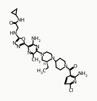 CC[C@H]1CN(c2nc(N)c(-c3nnc(NCC(=O)NC4CC4)o3)nc2C)CCN1C1CCN(C(=O)c2ccc(Cl)nc2N)CC1